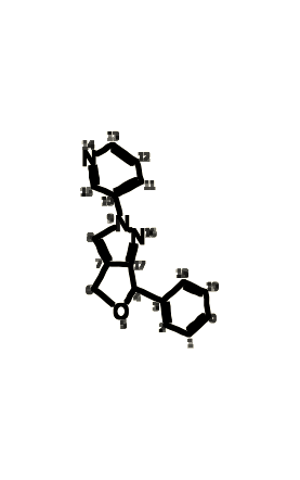 c1ccc(C2OCc3cn(-c4cccnc4)nc32)cc1